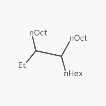 CCCCCCCCC(CC)C(CCCCCC)CCCCCCCC